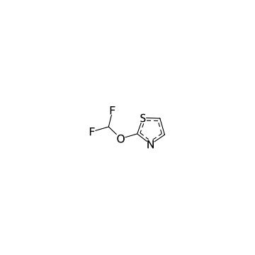 FC(F)Oc1nccs1